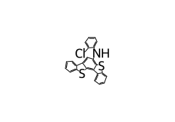 Clc1ccccc1Nc1cc2c3ccccc3sc2c2c1sc1ccccc12